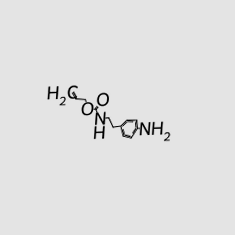 C=CCOC(=O)NCCc1ccc(N)cc1